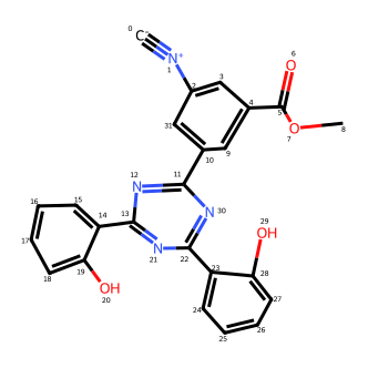 [C-]#[N+]c1cc(C(=O)OC)cc(-c2nc(-c3ccccc3O)nc(-c3ccccc3O)n2)c1